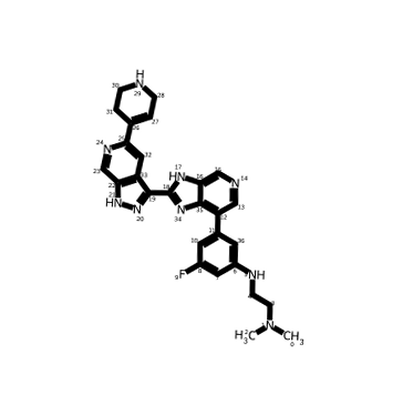 CN(C)CCNc1cc(F)cc(-c2cncc3[nH]c(-c4n[nH]c5cnc(C6=CCNCC6)cc45)nc23)c1